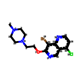 CN1CCN(CCOc2ncc3c(Cl)ccnc3c2Br)CC1